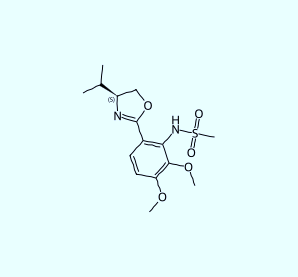 COc1ccc(C2=N[C@@H](C(C)C)CO2)c(NS(C)(=O)=O)c1OC